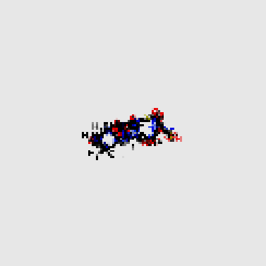 CC[C@H]1c2cc3[nH]c4c(c3C)C(=O)C(C(=O)OC)c4c3nc(cc4[nH]c(cc(n2)[C@@H]1C)c(C(C)=O)c4C)[C@@H](C)[C@@H]3CCC(=O)NCCCC(C(=O)NCCSSC[C@H](NC(=O)[C@H](CC(=O)NCCS(=O)(=O)O)NC(=O)CC[C@H](NC(=O)c1ccc(NCc2cnc3nc(N)[nH]c(=O)c3n2)cc1)C(=O)O)C(=O)O)[N+](C)(C)C